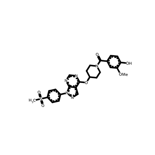 COc1cc(C(=O)N2CCC(Oc3ncnc4c3cnn4-c3ccc(S(C)(=O)=O)cc3)CC2)ccc1O